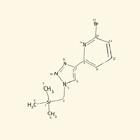 C[Si](C)(C)Cn1cc(-c2cccc(Br)n2)nn1